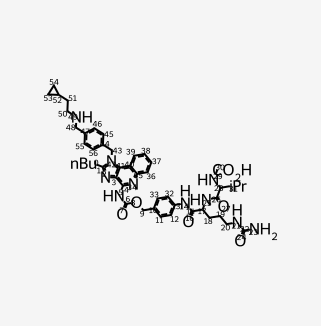 CCCCc1nc2c(NC(=O)OCc3ccc(NC(=O)C(CCCNC(N)=O)NC(=O)C(NC(=O)O)C(C)C)cc3)nc3ccccc3c2n1Cc1ccc(CNCCC2CC2)cc1